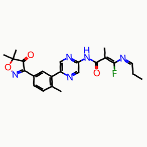 CC/C=N\C(F)=C(/C)C(=O)Nc1cnc(-c2cc(C3=NOC(C)(C)C3=O)ccc2C)cn1